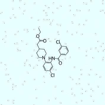 CCOC(=O)CC1CCN(c2ccc(Cl)cc2NC(=O)c2cccc(Cl)c2)CC1